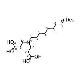 CCCCCCCCCCCCCCCCCCN(CCC(O)O)CCC(O)O